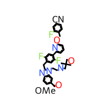 COC(=O)c1ccc2nc(Cc3cc(F)c(-c4cccc(OCc5ccc(C#N)cc5F)n4)cc3F)n(CCN3CC4(COC4)C3)c2c1